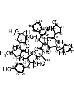 CNC(=O)C(CC(C)C)NC(=O)C(CC(C)C)NC(=O)C(Cc1ccc(O)cc1)NC(=O)C(CO)NC(=O)C(Cc1c[nH]c2ccccc12)NC(=O)C(Cc1cnc[nH]1)NC(=O)C1CCC(=O)N1